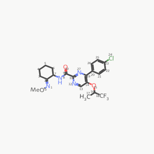 CON=C1CCCCC1NC(=O)c1ncc(OC(C)C(F)(F)F)c(-c2ccc(Cl)cc2)n1